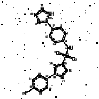 O=S(=O)(Nc1ccc(-c2nnn[nH]2)cc1)c1cnc(-c2ccc(F)cc2)s1